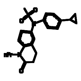 CCCN1C(=O)CCc2cc(N(c3ccc(C4CC4)cc3)S(C)(=O)=O)ccc21